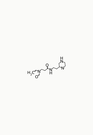 C=CN(C=O)CCC(=O)NCCC1CNCC[N]1